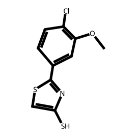 COc1cc(-c2nc(S)cs2)ccc1Cl